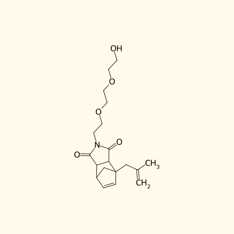 C=C(C)CC12C=CC(C1)C1C(=O)N(CCOCCOCCO)C(=O)C12